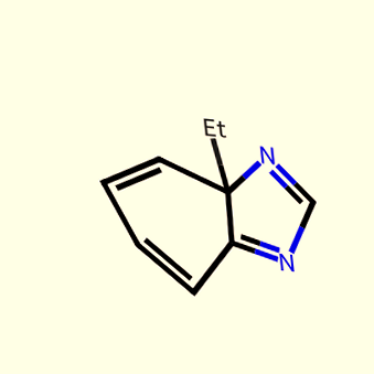 CCC12C=CC=CC1=NC=N2